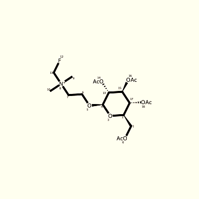 CC(=O)OC[C@H]1O[C@@H](OCC[N+](C)(C)CF)[C@H](OC(C)=O)[C@@H](OC(C)=O)[C@@H]1OC(C)=O